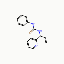 C=CC(NC(=S)Nc1ccccc1)c1ccccn1